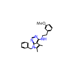 COc1cccc(CCNc2ncnc3c2c(C)c(C)n3Cc2ccccc2)c1